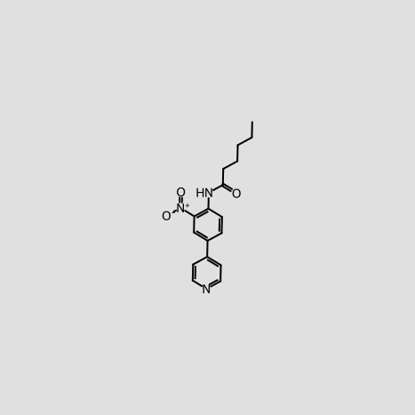 CCCCCC(=O)Nc1ccc(-c2ccncc2)cc1[N+](=O)[O-]